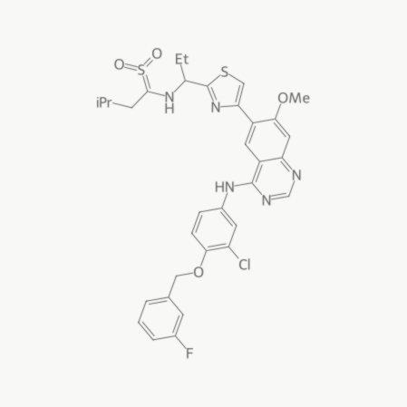 CCC(NC(CC(C)C)=S(=O)=O)c1nc(-c2cc3c(Nc4ccc(OCc5cccc(F)c5)c(Cl)c4)ncnc3cc2OC)cs1